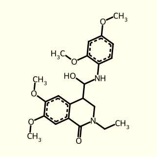 CCN1CC(C(O)Nc2ccc(OC)cc2OC)c2cc(OC)c(OC)cc2C1=O